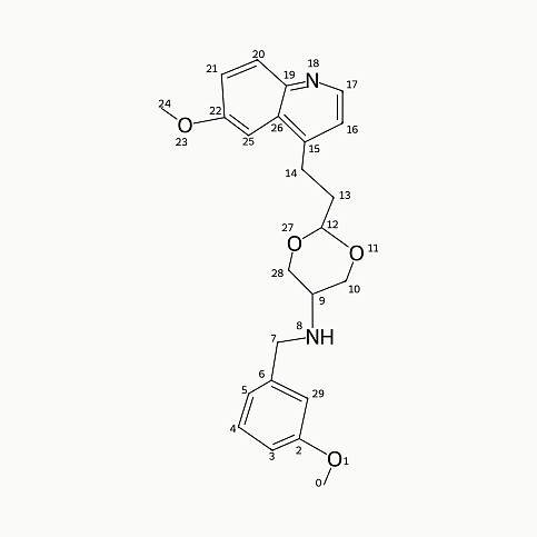 COc1cccc(CNC2COC(CCc3ccnc4ccc(OC)cc34)OC2)c1